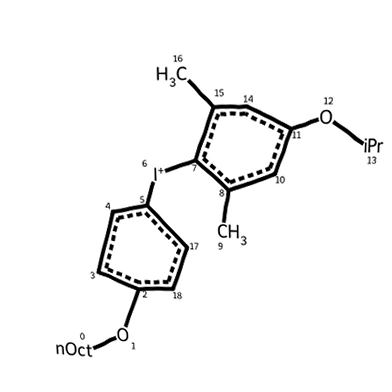 CCCCCCCCOc1ccc([I+]c2c(C)cc(OC(C)C)cc2C)cc1